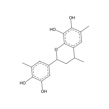 Cc1cc(C2CC(C)c3cc(C)c(O)c(O)c3O2)cc(O)c1O